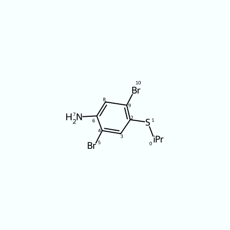 CC(C)Sc1cc(Br)c(N)cc1Br